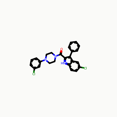 O=C(c1[nH]c2ccc(Cl)cc2c1-c1ccccc1)N1CCN(c2cccc(Cl)c2)CC1